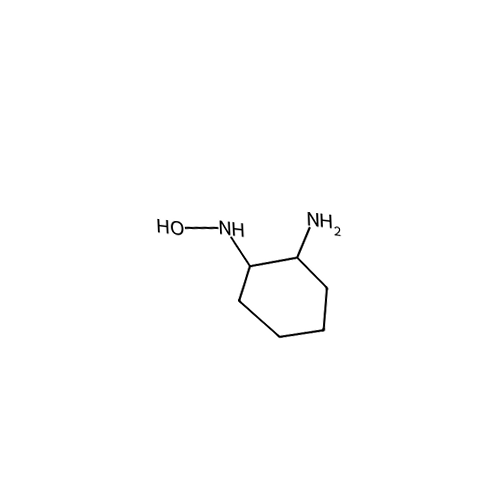 NC1CCCCC1NO